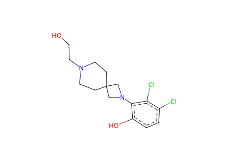 OCCN1CCC2(CC1)CN(c1c(O)ccc(Cl)c1Cl)C2